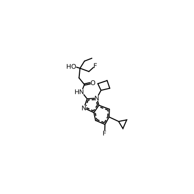 CCC(O)(CF)CC(=O)Nc1nc2cc(F)c(C3CC3)cc2n1C1CCC1